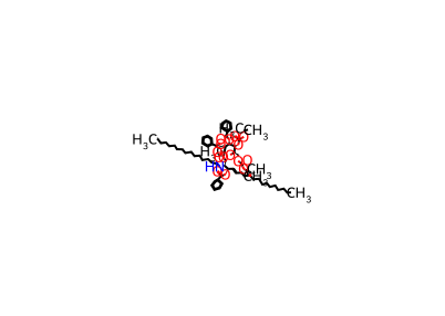 CCCCCCCCCCCCC/C=C/[C@@H](OC(=O)c1ccccc1)[C@H](CO[C@@]1(C)O[C@H](COC(=O)OC(C)C)[C@H](OC(=O)OC(C)C)[C@H](OC(=O)c2ccccc2)[C@H]1OC(=O)c1ccccc1)NC(=O)CCCCCCCCCCCCCCC